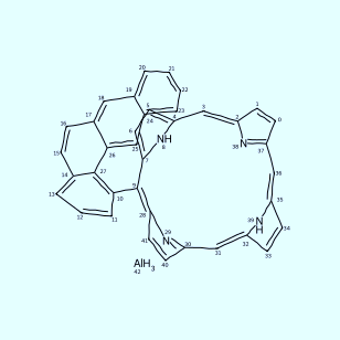 C1=Cc2cc3ccc([nH]3)c(-c3cccc4ccc5cc6ccccc6cc5c34)c3nc(cc4ccc(cc1n2)[nH]4)C=C3.[AlH3]